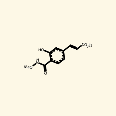 CCOC(=O)/C=C/c1ccc(C(=O)NOC)c(O)c1